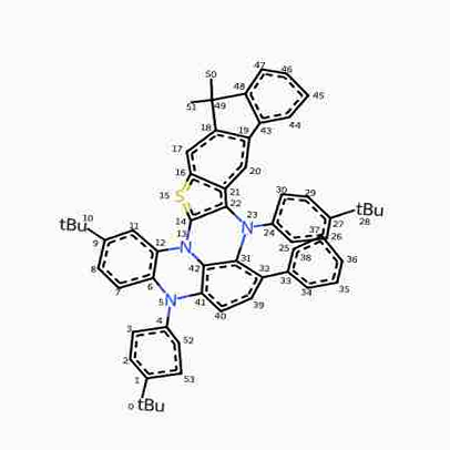 CC(C)(C)c1ccc(N2c3ccc(C(C)(C)C)cc3N3c4sc5cc6c(cc5c4N(c4ccc(C(C)(C)C)cc4)c4c(-c5ccccc5)ccc2c43)-c2ccccc2C6(C)C)cc1